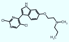 CCCN(C)CCOc1ccc2c(-c3nc(Cl)ncc3Cl)c[nH]c2c1